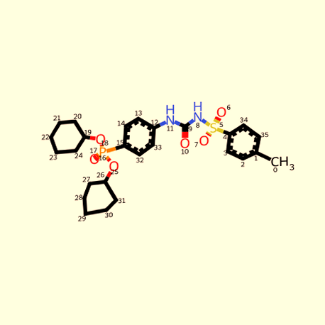 Cc1ccc(S(=O)(=O)NC(=O)Nc2ccc(P(=O)(OC3CCCCC3)OC3CCCCC3)cc2)cc1